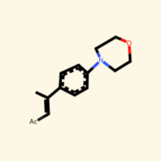 CC(=O)C=C(C)c1ccc(N2CCOCC2)cc1